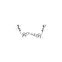 C[C@H](CCC(=O)NCCS(=O)(=O)O)[C@H]1CC[C@H]2C3[C@@H](O)CC4CC(NCCNC5CC[C@]6(C)C(C5)C[C@@H](O)C5[C@H]6CC[C@]6(C)[C@H]5CC[C@H]6[C@@H](C)CCC(=O)NCCS(=O)(=O)O)CC[C@]4(C)[C@H]3CC[C@]12C